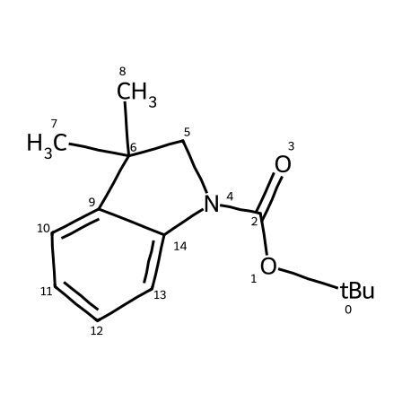 CC(C)(C)OC(=O)N1CC(C)(C)c2ccccc21